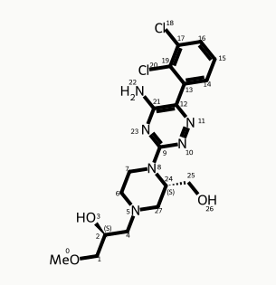 COC[C@@H](O)CN1CCN(c2nnc(-c3cccc(Cl)c3Cl)c(N)n2)[C@H](CO)C1